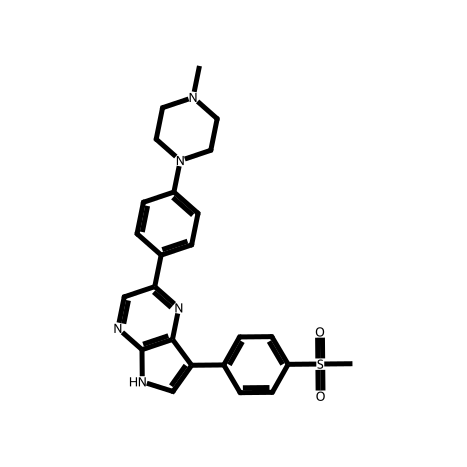 CN1CCN(c2ccc(-c3cnc4[nH]cc(-c5ccc(S(C)(=O)=O)cc5)c4n3)cc2)CC1